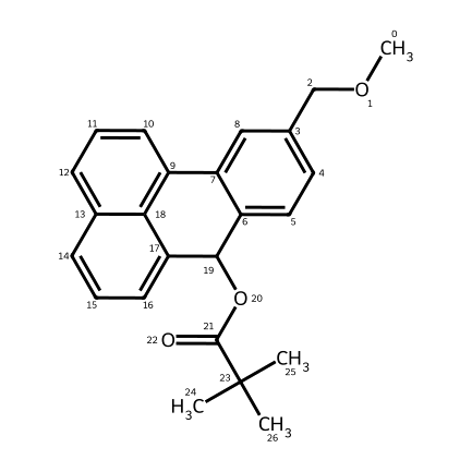 COCc1ccc2c(c1)-c1cccc3cccc(c13)C2OC(=O)C(C)(C)C